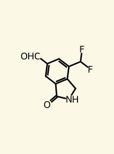 O=Cc1cc2c(c(C(F)F)c1)CNC2=O